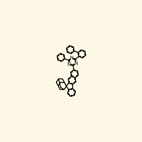 c1ccc(-c2nc(-c3ccc4cc5c(cc4c3)C3(c4ccccc4-5)C4CC5CC(C4)CC3C5)nc(-c3ccccc3-c3ccccc3)n2)cc1